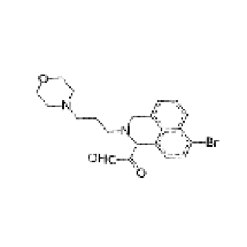 O=CC(=O)C1c2ccc(Br)c3cccc(c23)CN1CCCN1CCOCC1